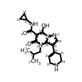 CC(C)Cn1c(=O)c(C(=O)NC2CC2)c(O)n2ncc(C3=CCNCC3)c12